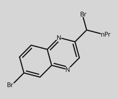 CCCC(Br)c1cnc2cc(Br)ccc2n1